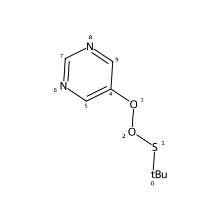 CC(C)(C)SOOc1cncnc1